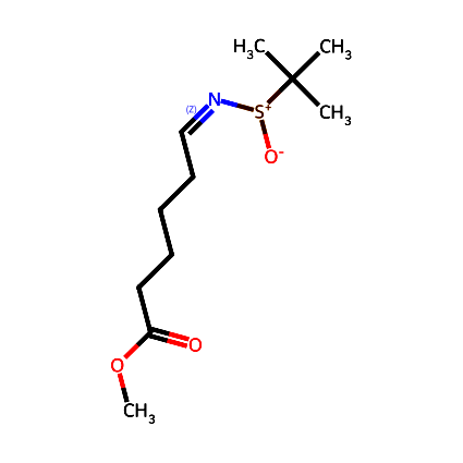 COC(=O)CCCC/C=N\[S+]([O-])C(C)(C)C